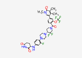 Cc1c(-c2ccc(C(=O)N3CC[C@@H](N4CCN(c5ccc(NC6CCC(=O)NC6=O)cc5F)CC4)C(F)(F)C3)c(OC(F)(F)F)c2)cn(C)c(=O)c1C